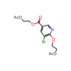 CC(=O)OCCOC(=O)c1cnc(OCCOC(C)=O)c(Br)c1